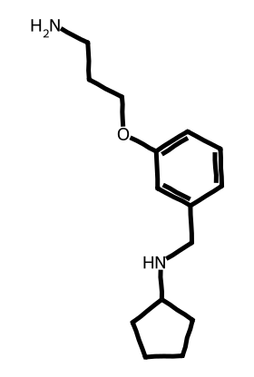 NCCCOc1cccc(CNC2CCCC2)c1